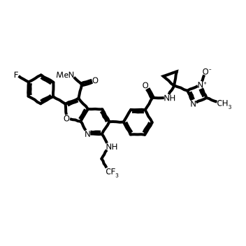 CNC(=O)c1c(-c2ccc(F)cc2)oc2nc(NCC(F)(F)F)c(-c3cccc(C(=O)NC4(C5=NC(C)=[N+]5[O-])CC4)c3)cc12